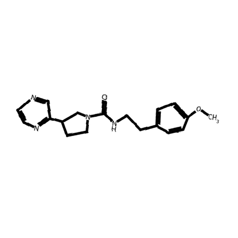 COc1ccc(CCNC(=O)N2CCC(c3cnccn3)C2)cc1